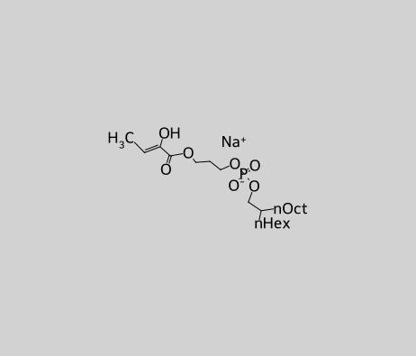 CC=C(O)C(=O)OCCCOP(=O)([O-])OCC(CCCCCC)CCCCCCCC.[Na+]